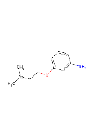 C[As](C)CCOc1cccc(N)c1